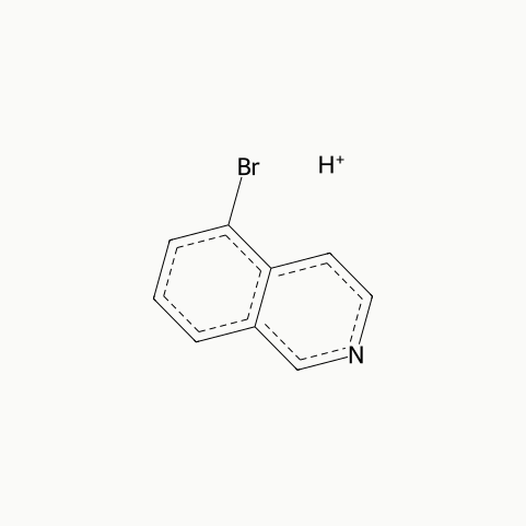 Brc1cccc2cnccc12.[H+]